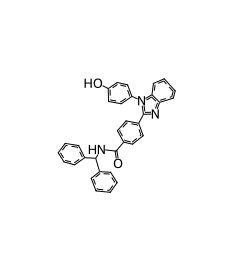 O=C(NC(c1ccccc1)c1ccccc1)c1ccc(-c2nc3ccccc3n2-c2ccc(O)cc2)cc1